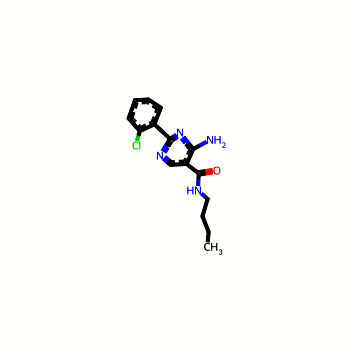 CCCCNC(=O)c1cnc(-c2ccccc2Cl)nc1N